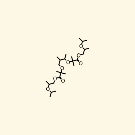 CC(C)OC(C)COC(=O)C(C)(C)OCC(C)C(C)OC(C)(C)C(=O)OCC(C)OC(C)C